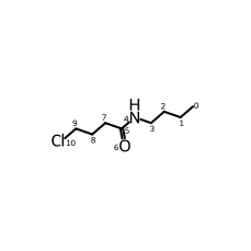 CCCCNC(=O)CCCCl